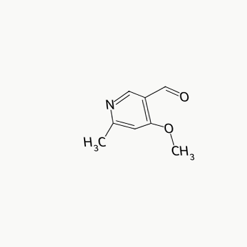 COc1cc(C)ncc1C=O